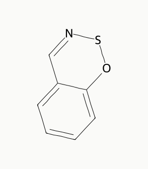 C1=NSOc2ccccc21